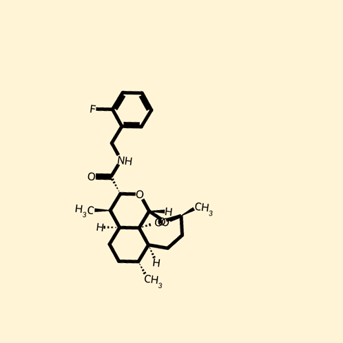 C[C@H]1[C@H](C(=O)NCc2ccccc2F)O[C@@H]2O[C@@]3(C)CC[C@H]4[C@H](C)CC[C@@H]1[C@@]24OO3